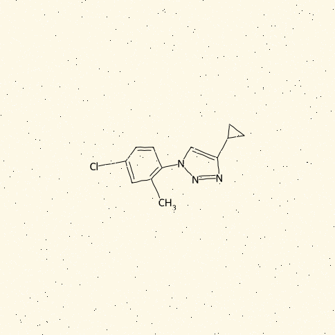 Cc1cc(Cl)ccc1-n1cc(C2CC2)nn1